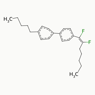 CCCCC/C(F)=C(/F)c1ccc(-c2ccc(CCCCC)cc2)cc1